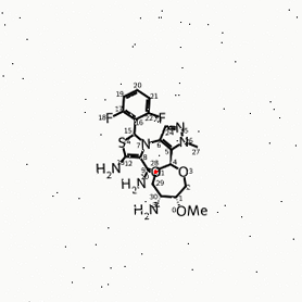 CO[C@H]1CO[C@H](c2c(N3C(C(N)=O)=C(N)SC3c3c(F)cccc3F)cnn2C)CC[C@H]1N